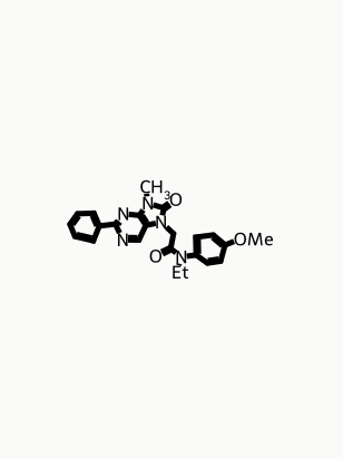 CCN(C(=O)Cn1c(=O)n(C)c2nc(-c3ccccc3)ncc21)c1ccc(OC)cc1